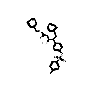 Cc1ccc(S(=O)(=O)Oc2ccc(C(Cc3ccccc3)C(N)CC(=O)OCc3ccccc3)cc2)cc1